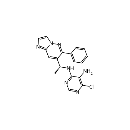 C[C@H](Nc1ncnc(Cl)c1N)c1cc2nccn2nc1-c1ccccc1